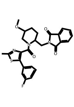 COC1CCC(CN2C(=O)c3ccccc3C2=O)N(C(=O)c2nc(C)sc2-c2cccc(F)c2)C1